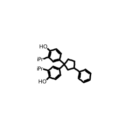 CC(C)c1cc(C2(c3ccc(O)c(C(C)C)c3)CCC(c3ccccc3)C2)ccc1O